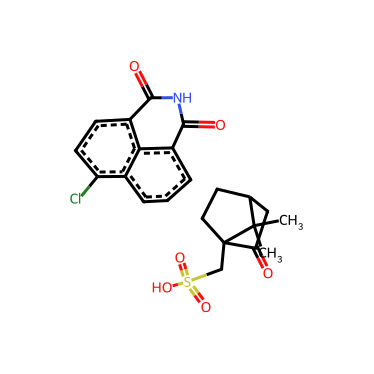 CC1(C)C2CCC1(CS(=O)(=O)O)C(=O)C2.O=C1NC(=O)c2ccc(Cl)c3cccc1c23